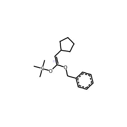 C[Si](C)(C)O/C(=C/C1CCCC1)OCc1ccccc1